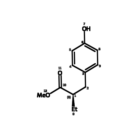 CC[C@H](Cc1ccc(O)cc1)C(=O)OC